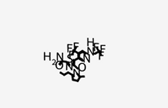 CCCC1CCC(C)N1C(=O)c1nc(C(N)=O)sc1-c1cnc(NCC(F)(F)F)cc1C(F)(F)F